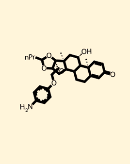 CCCC1OC2CC3C4CCC5=CC(=O)C=C[C@]5(C)C4[C@@H](O)C[C@]3(C)[C@]2(C(=O)COc2ccc(N)cc2)O1